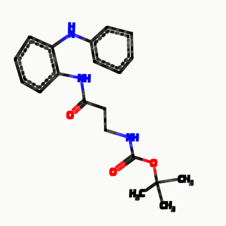 CC(C)(C)OC(=O)NCCC(=O)Nc1ccccc1Nc1ccccc1